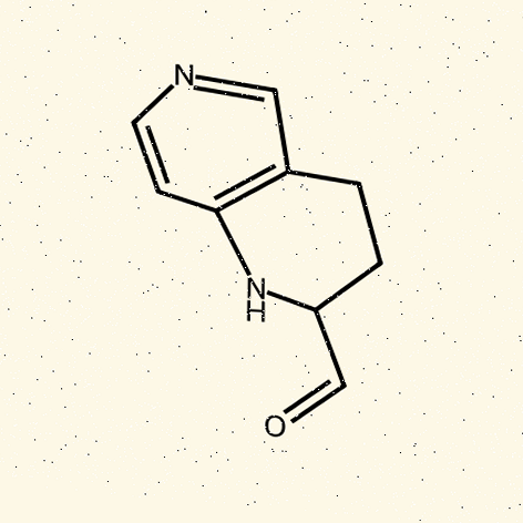 O=CC1CCc2cnccc2N1